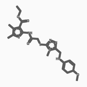 CCOC(=O)c1c(NC(=O)CSc2nnc(CNC3=CCC(OC)C=C3)n2C)sc(C)c1C